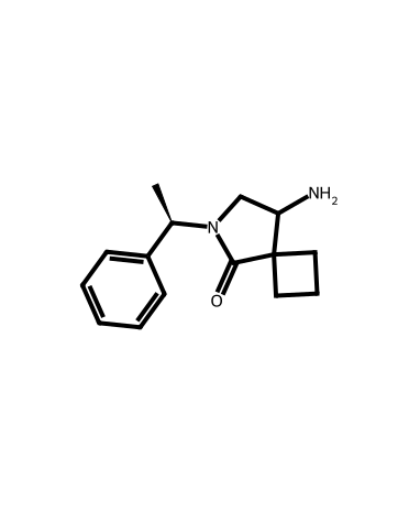 C[C@H](c1ccccc1)N1CC(N)C2(CCC2)C1=O